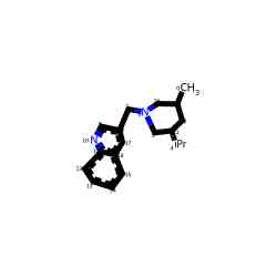 CC1CC(C(C)C)CN(Cc2cnc3ccccc3c2)C1